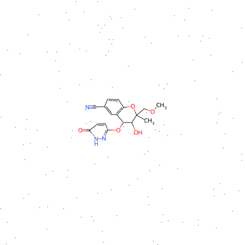 COCC1(C)Oc2ccc(C#N)cc2C(Oc2ccc(=O)[nH]n2)C1O